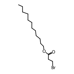 CCCCCCCCCCCCOC(=O)CCBr